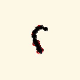 Cc1ccc(C=Cc2ccc(Oc3ccc(C(C)(C)c4ccc(Oc5ccc(C=Cc6ccc(N7C(=O)c8ccc(Oc9ccc%10c(c9)C(=O)N(C)C%10=O)cc8C7=O)cc6)cc5)cc4)cc3)cc2)cc1